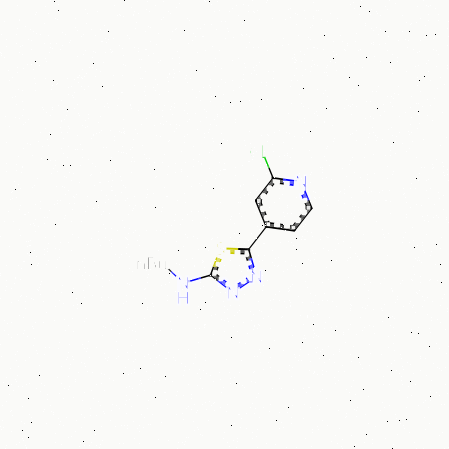 CCCCNc1nnc(-c2ccnc(Cl)c2)s1